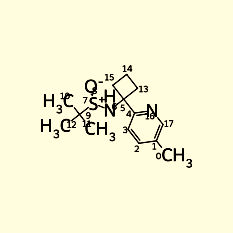 Cc1ccc(C2(N[S@+]([O-])C(C)(C)C)CCC2)nc1